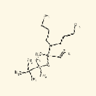 C=C[Si](C)(O[Si](C)(C)C(C)(C)C)N(CCCC)CCCC